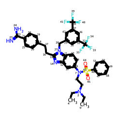 CCN(CC)CCN(c1ccc2c(c1)nc(CCc1ccc(C(=N)N)cc1)n2Cc1cc(C(F)(F)F)cc(C(F)(F)F)c1)S(=O)(=O)c1ccccc1